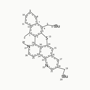 Cc1c2c(c(CC(C)(C)C)c3ccccc13)Sc1cc3cc(CC(C)(C)C)cnc3c3cc[n+](C)c-2c13